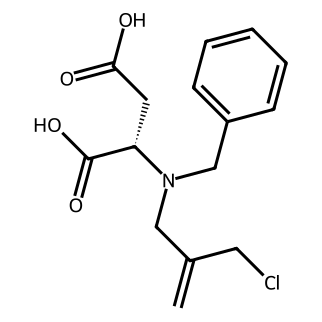 C=C(CCl)CN(Cc1ccccc1)[C@@H](CC(=O)O)C(=O)O